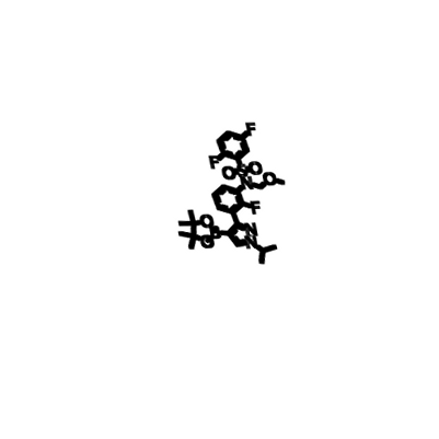 COCN(c1cccc(-c2nn(C(C)C)cc2B2OC(C)(C)C(C)(C)O2)c1F)S(=O)(=O)c1cc(F)ccc1F